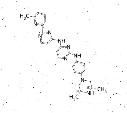 Cc1cccc(-c2nccc(Nc3ccnc(Nc4ccc(N5C[C@@H](C)N[C@@H](C)C5)cc4)n3)n2)n1